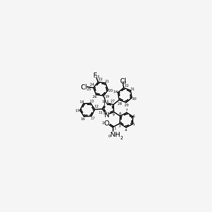 NC(=O)c1ccccc1-c1nc(-c2ccccc2)n(-c2ccc(F)c(Cl)c2)c1-c1cccc(Cl)c1